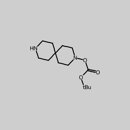 CC(C)(C)OC(=O)ON1CCC2(CCNCC2)CC1